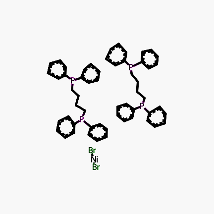 [Br][Ni][Br].c1ccc(P(CCCCP(c2ccccc2)c2ccccc2)c2ccccc2)cc1.c1ccc(P(CCCCP(c2ccccc2)c2ccccc2)c2ccccc2)cc1